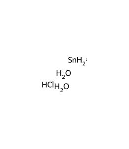 Cl.O.O.[SnH2]